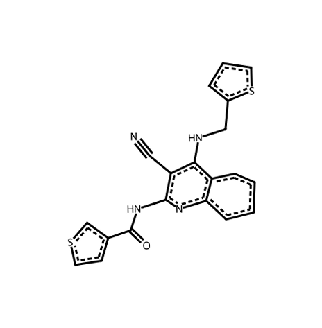 N#Cc1c(NC(=O)c2ccsc2)nc2ccccc2c1NCc1cccs1